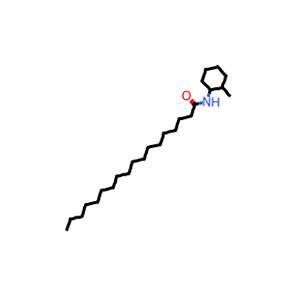 CCCCCCCCCCCCCCCCCC(=O)NC1CCCCC1C